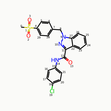 CS(=O)(=O)c1ccc(Cn2nc(C(=O)Nc3ccc(Cl)cc3)c3ccccc32)cc1